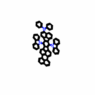 c1ccc(N(c2ccccc2)c2ccc3c4c(-n5c6ccccc6c6ccccc65)c5c6ccc7c8cccc9cccc(c%10ccc(c5c(-n5c%11ccccc%11c%11ccccc%115)c4c4cccc2c43)c6c%107)c98)cc1